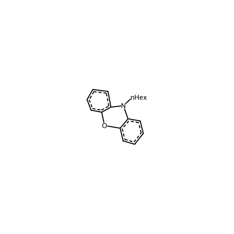 CCCCCCN1c2ccccc2Oc2ccccc21